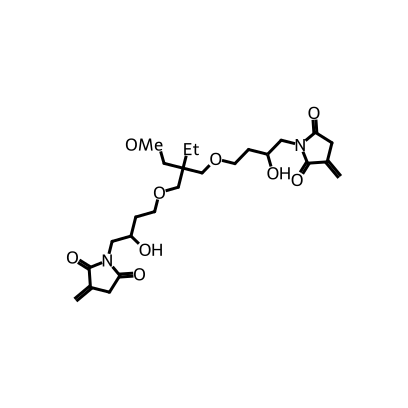 C=C1CC(=O)N(CC(O)CCOCC(CC)(COC)COCCC(O)CN2C(=O)CC(=C)C2=O)C1=O